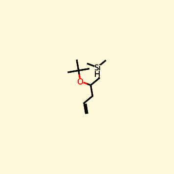 C=CCC(C[SiH](C)C)OC(C)(C)C